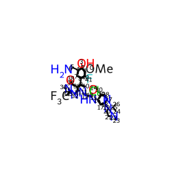 COc1c(O)c(CN)cc(-c2cn(CC(=O)Nc3cc(N4CCN(C)C[C@@H]4C)ncc3Cl)c3nc(C(F)(F)F)n(C)c(=O)c23)c1F